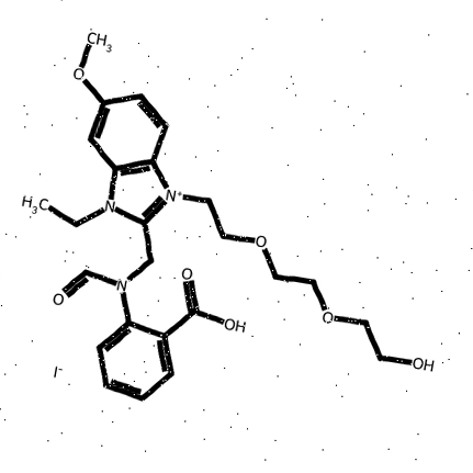 CCn1c(CN(C=O)c2ccccc2C(=O)O)[n+](CCOCCOCCO)c2ccc(OC)cc21.[I-]